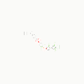 CC1CCC(C2COC(C3CCC(C(F)(F)Oc4ccc(-c5cc(F)c(Cl)c(F)c5)c(F)c4)CC3)OC2)CC1